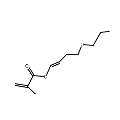 C=C(C)C(=O)OC=CCCOCCC